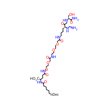 CCCCCCCCCCCCCCCC(=O)NC(CCC(=O)NOCCOCC(=O)NCCOCCOCC(=O)NCCCC[C@H](NCN)C(=O)CN[C@@H](CO)C(N)=O)C(=O)O